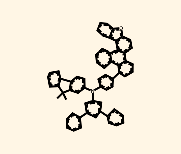 CC1(C)c2ccccc2-c2ccc(N(c3ccc(-c4cccc5c6ccc7oc8ccccc8c7c6c6ccccc6c45)cc3)c3cc(-c4ccccc4)cc(-c4ccccc4)c3)cc21